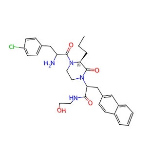 CCC[C@H]1C(=O)N(C(Cc2ccc3ccccc3c2)C(=O)NCCO)CCN1C(=O)C(N)Cc1ccc(Cl)cc1